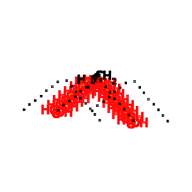 C=C=C.[C]P(=O)(O)O.[C]P(=O)(O)O.[C]P(=O)(O)O.[C]P(=O)(O)O.[C]P(=O)(O)O.[C]P(=O)(O)O.[C]P(=O)(O)O.[C]P(=O)(O)O.[C]P(=O)(O)O.[C]P(=O)(O)O.[C]P(=O)(O)O.[C]P(=O)(O)O.[C]P(=O)(O)O.[C]P(=O)(O)O.[C]P(=O)(O)O